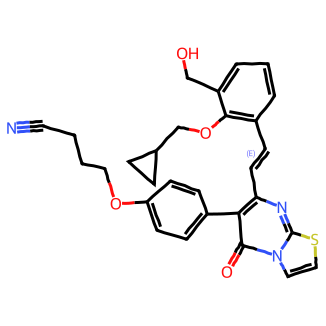 N#CCCCOc1ccc(-c2c(/C=C/c3cccc(CO)c3OCC3CC3)nc3sccn3c2=O)cc1